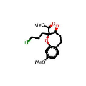 COC(=O)C1(CCCCl)Oc2cc(OC)ccc2CCC1=O